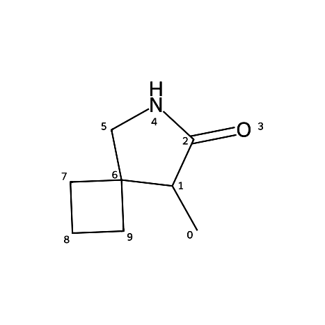 CC1C(=O)NCC12CCC2